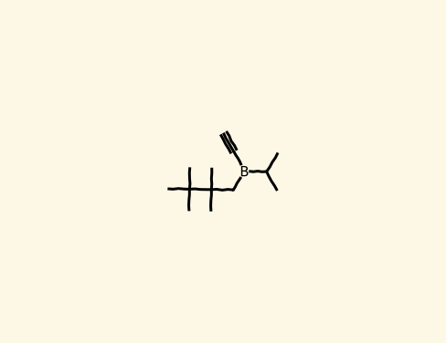 C#CB(CC(C)(C)C(C)(C)C)C(C)C